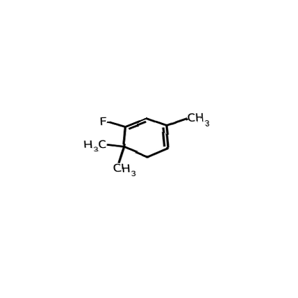 CC1=CCC(C)(C)C(F)=C1